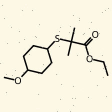 CCOC(=O)C(C)(C)SC1CCC(OC)CC1